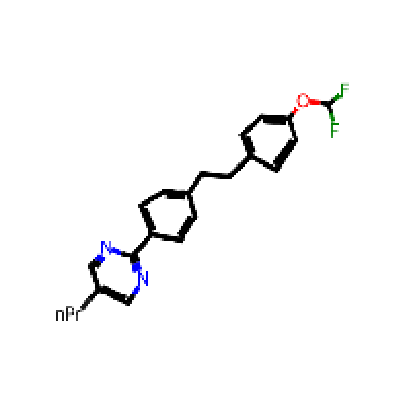 CCCc1cnc(-c2ccc(CCc3ccc(OC(F)F)cc3)cc2)nc1